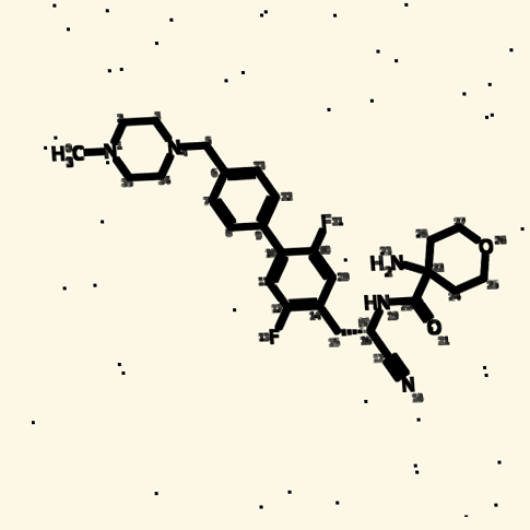 CN1CCN(Cc2ccc(-c3cc(F)c(C[C@@H](C#N)NC(=O)C4(N)CCOCC4)cc3F)cc2)CC1